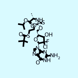 CC(C)OC(=O)[C@H](C)N[P@@](=S)(OCCSC(=O)C(C)(C)C)OC[C@H]1O[C@@H](n2cnc3c(=O)[nH]c(N)nc32)[C@@](F)(Cl)[C@@H]1O